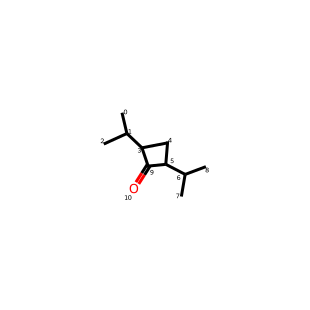 CC(C)C1CC(C(C)C)C1=O